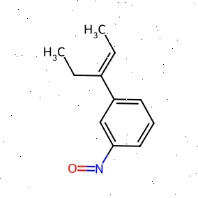 C/C=C(\CC)c1cccc(N=O)c1